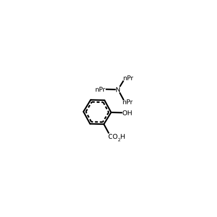 CCCN(CCC)CCC.O=C(O)c1ccccc1O